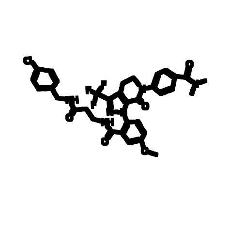 COc1ccc(-n2nc(C(F)(F)F)c3c2C(=O)N(c2ccc(C(=O)N(C)C)cc2)CC3)c(C(=O)NCCC(=O)NCc2ccc(Cl)cc2)c1